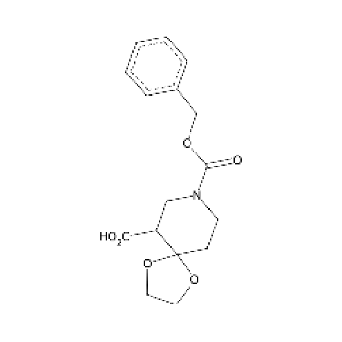 O=C(O)C1CN(C(=O)OCc2ccccc2)CCC12OCCO2